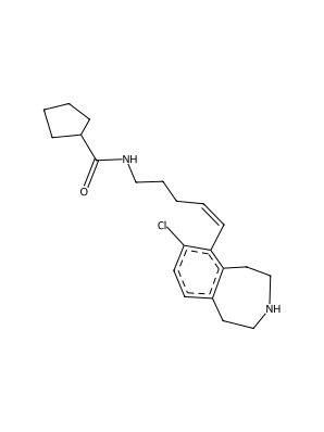 O=C(NCCC/C=C\c1c(Cl)ccc2c1CCNCC2)C1CCCC1